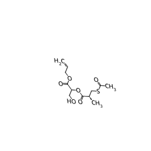 C=CCOC(=O)C(CO)OC(=O)[C@H](C)CSC(C)=O